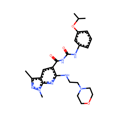 Cc1nn(C)c2nc(NCCN3CCOCC3)c(C(=O)NC(=O)Nc3cccc(OC(C)C)c3)cc12